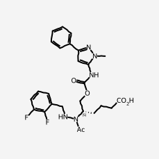 CC(=O)N(NCc1cccc(F)c1F)[C@@H](CCCC(=O)O)COC(=O)Nc1cc(-c2ccccc2)nn1C